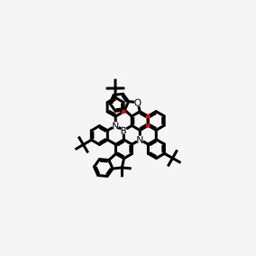 CC(C)(C)c1ccc(N2B3c4c(cc5c(c4-c4cc(C(C)(C)C)ccc42)-c2ccccc2C5(C)C)N(c2ccc(C(C)(C)C)cc2-c2ccccc2)c2ccc4oc5ccccc5c4c23)cc1